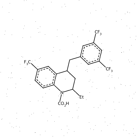 CCC1CC(Cc2cc(C(F)(F)F)cc(C(F)(F)F)c2)c2cc(C(F)(F)F)ccc2N1C(=O)O